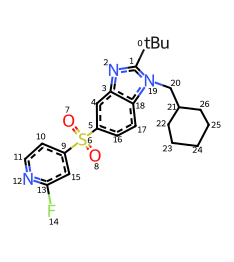 CC(C)(C)c1nc2cc(S(=O)(=O)c3ccnc(F)c3)ccc2n1CC1CCCCC1